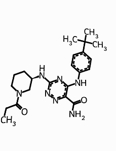 CCC(=O)N1CCC[C@@H](Nc2nnc(C(N)=O)c(Nc3ccc(C(C)(C)C)cc3)n2)C1